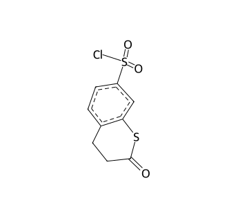 O=C1CCc2ccc(S(=O)(=O)Cl)cc2S1